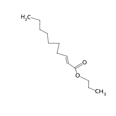 CCCCCCCC=CC(=O)OCCC